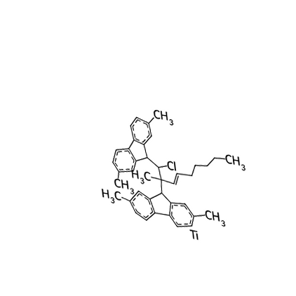 CCCCCC=CC(C)(C1c2cc(C)ccc2-c2ccc(C)cc21)C(Cl)C1c2cc(C)ccc2-c2ccc(C)cc21.[Ti]